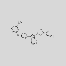 C=CC(=O)N1CCC(c2cc(-c3ccc(Oc4cc(C5CC5)ccn4)cc3)n3cnccc23)C1